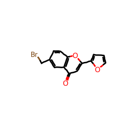 O=c1cc(-c2ccco2)oc2ccc(CBr)cc12